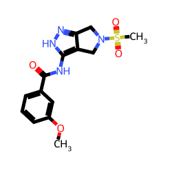 COc1cccc(C(=O)Nc2[nH]nc3c2CN(S(C)(=O)=O)C3)c1